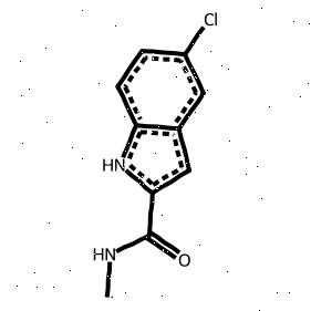 [CH2]NC(=O)c1cc2cc(Cl)ccc2[nH]1